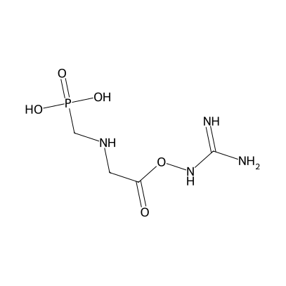 N=C(N)NOC(=O)CNCP(=O)(O)O